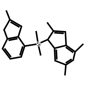 CC1=Cc2c(cccc2[Si](C)(C)C2C(C)=Cc3c(C)cc(C)cc32)C1